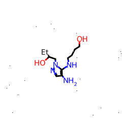 CCC(O)Cn1ncc(N)c1NCCCCO